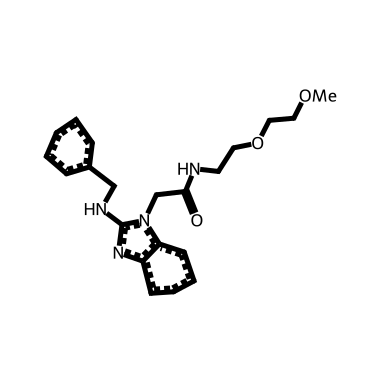 COCCOCCNC(=O)Cn1c(NCc2ccccc2)nc2ccccc21